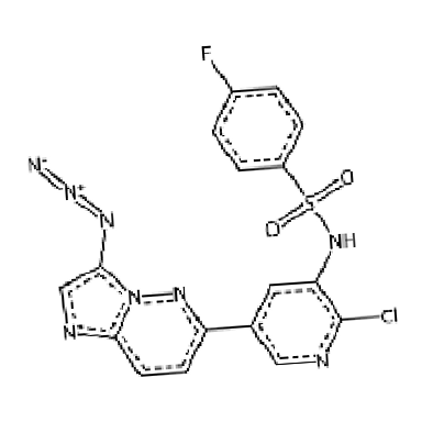 [N-]=[N+]=Nc1cnc2ccc(-c3cnc(Cl)c(NS(=O)(=O)c4ccc(F)cc4)c3)nn12